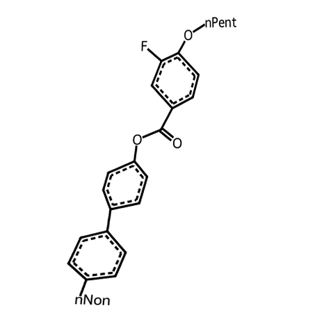 CCCCCCCCCc1ccc(-c2ccc(OC(=O)c3ccc(OCCCCC)c(F)c3)cc2)cc1